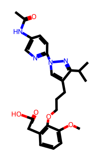 COc1cccc(CC(=O)O)c1OCCCc1cn(-c2ccc(NC(C)=O)cn2)nc1C(C)C